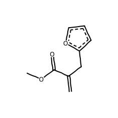 C=C(Cc1ccco1)C(=O)OC